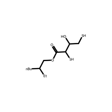 CCCCC(CC)COC(=O)C(S)C(O)CS